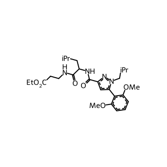 CCOC(=O)CCNC(=O)C(CC(C)C)NC(=O)c1cc(-c2c(OC)cccc2OC)n(CC(C)C)n1